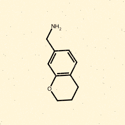 NCc1ccc2c(c1)OCCC2